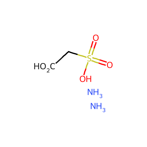 N.N.O=C(O)CS(=O)(=O)O